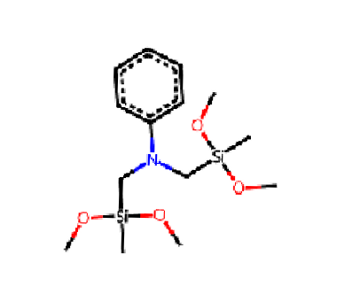 CO[Si](C)(CN(C[Si](C)(OC)OC)c1ccccc1)OC